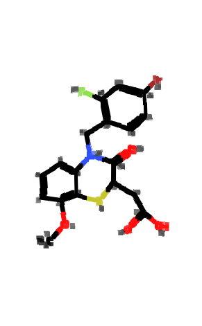 COc1cccc2c1SC(CC(=O)O)C(=O)N2Cc1ccc(Br)cc1F